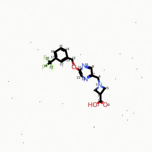 O=C(O)C1CN(Cc2cnc(OCc3cccc(C(F)(F)F)c3)cn2)C1